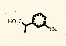 CC(C(=O)O)c1cccc(C(C)(C)C)c1